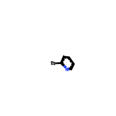 CCc1[c]cccn1